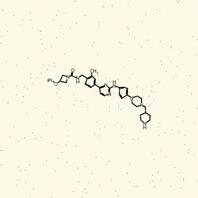 Cc1cc(-c2ccnc(Nc3ccc(N4CCN(CC5CCNCC5)CC4)cc3)n2)ccc1CNC(=O)N1CC(OC(C)C)C1